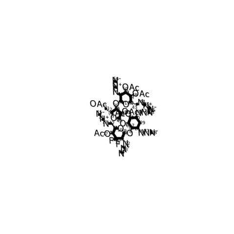 CC(=O)OC[C@H]1O[C@@H](O[C@H]2[C@H](O[C@H]3O[C@H](CN=[N+]=[N-])[C@@H](OC(C)=O)C(F)(F)C3N=[N+]=[N-])C(N=[N+]=[N-])CC(N=[N+]=[N-])[C@@H]2OC(C)=O)[C@H](OC(C)=O)[C@@H]1O[C@H]1O[C@@H](CN=[N+]=[N-])[C@@H](OC(C)=O)[C@H](OC(C)=O)C1N=[N+]=[N-]